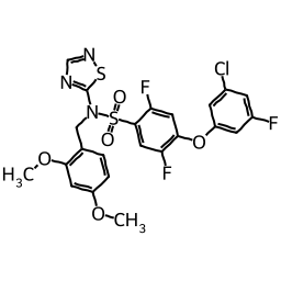 COc1ccc(CN(c2ncns2)S(=O)(=O)c2cc(F)c(Oc3cc(F)cc(Cl)c3)cc2F)c(OC)c1